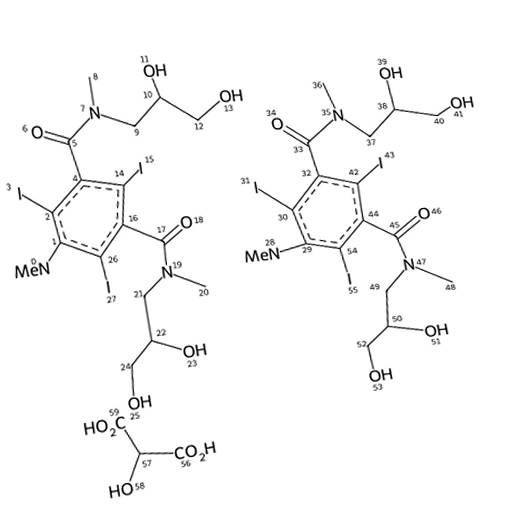 CNc1c(I)c(C(=O)N(C)CC(O)CO)c(I)c(C(=O)N(C)CC(O)CO)c1I.CNc1c(I)c(C(=O)N(C)CC(O)CO)c(I)c(C(=O)N(C)CC(O)CO)c1I.O=C(O)C(O)C(=O)O